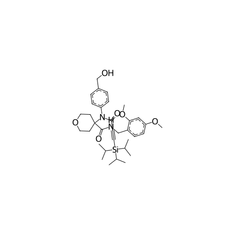 COc1ccc(CNC(=O)C2(N(C(=O)C#C[Si](C(C)C)(C(C)C)C(C)C)c3ccc(CO)cc3)CCOCC2)c(OC)c1